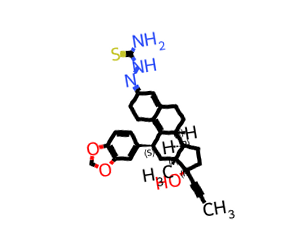 CC#C[C@@]1(O)CC[C@@H]2[C@H]3CCC4=CC(=NNC(N)=S)CCC4=C3[C@H](c3ccc4c(c3)OCO4)C[C@]21C